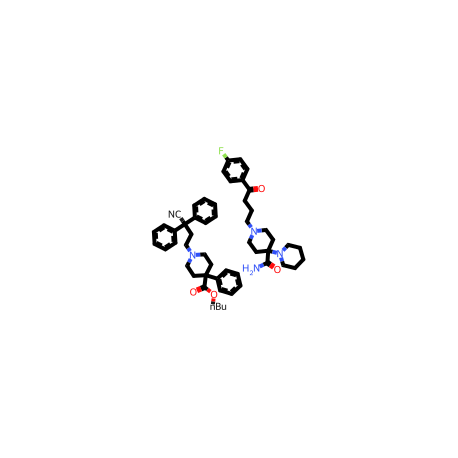 CCCCOC(=O)C1(c2ccccc2)CCN(CCC(C#N)(c2ccccc2)c2ccccc2)CC1.NC(=O)C1(N2CCCCC2)CCN(CCCC(=O)c2ccc(F)cc2)CC1